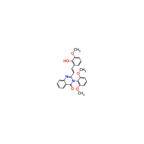 COc1cccc(/C=C/c2nc3ccccc3c(=O)n2-c2c(OC)cccc2OC)c1O